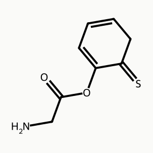 NCC(=O)OC1=CC=CCC1=S